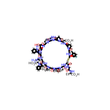 CCCC[C@H]1C(=O)N(C)[C@@H](CCCC)C(=O)N[C@@H](CC(C)C)C(=O)N[C@H](C(=O)NCC(=O)N[C@@H](CC)C(=O)O)CSCC(=O)N[C@@H](Cc2ccc(F)cc2)C(=O)N2CCCC[C@H]2C(=O)N[C@@H](CC(=O)O)C(=O)N2CCC[C@H]2C(=O)N[C@@H](CN)C(=O)N[C@@H](CC(C)C)C(=O)N2C[C@H](O)C[C@H]2C(=O)N[C@@H](Cc2c[nH]c3ccccc23)C(=O)N[C@@H](CCN)C(=O)N[C@@H](Cc2cn(CC(=O)O)c3ccccc23)C(=O)N1C